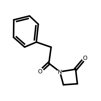 O=C1CCN1C(=O)Cc1ccccc1